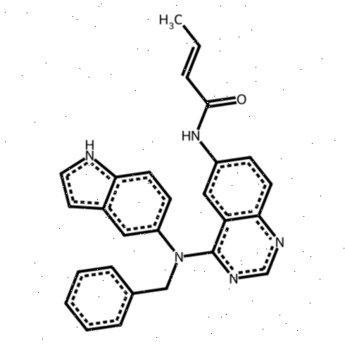 C/C=C/C(=O)Nc1ccc2ncnc(N(Cc3ccccc3)c3ccc4[nH]ccc4c3)c2c1